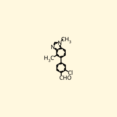 Cc1c(-c2ccc(C=O)c(Cl)c2)ccc2c1ncn2C